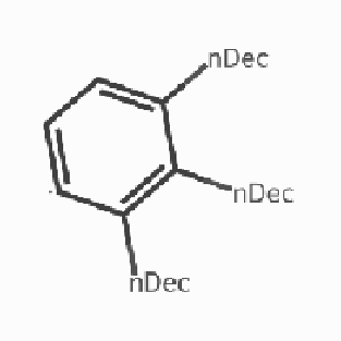 CCCCCCCCCCc1[c]ccc(CCCCCCCCCC)c1CCCCCCCCCC